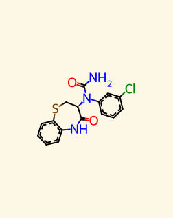 NC(=O)N(c1cccc(Cl)c1)[C@@H]1CSc2ccccc2NC1=O